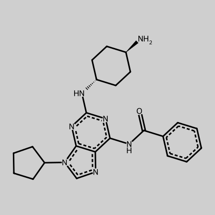 N[C@H]1CC[C@H](Nc2nc(NC(=O)c3ccccc3)c3ncn(C4CCCC4)c3n2)CC1